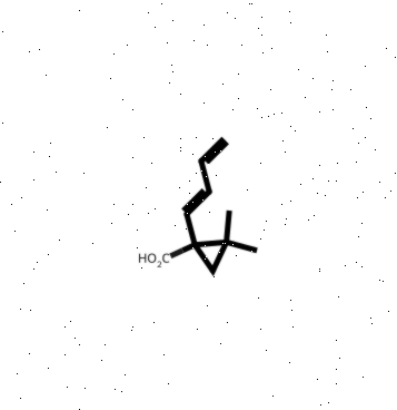 C=CC=CC1(C(=O)O)CC1(C)C